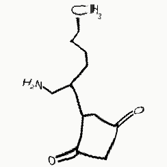 CCCC(N)[C]1C(=O)CC1=O